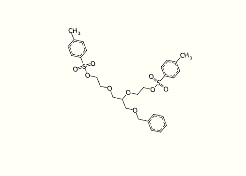 Cc1ccc(S(=O)(=O)OCCOCC(COCc2ccccc2)OCCOS(=O)(=O)c2ccc(C)cc2)cc1